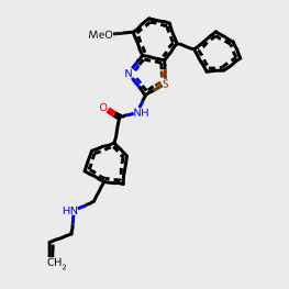 C=CCNCc1ccc(C(=O)Nc2nc3c(OC)ccc(-c4ccccc4)c3s2)cc1